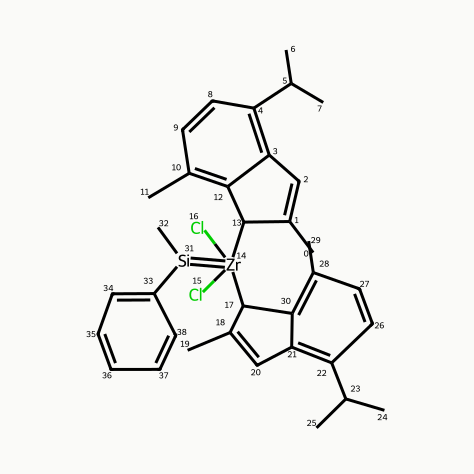 CC1=Cc2c(C(C)C)ccc(C)c2[CH]1[Zr]([Cl])([Cl])([CH]1C(C)=Cc2c(C(C)C)ccc(C)c21)=[Si](C)c1ccccc1